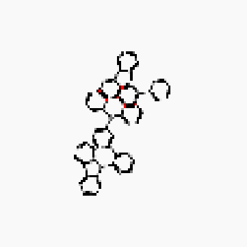 c1ccc(-c2ccc(-c3ccccc3N(c3cccc(-c4ccccc4-n4c5ccccc5c5ccccc54)c3)c3ccccc3-c3cccc4c3oc3ccccc34)cc2)cc1